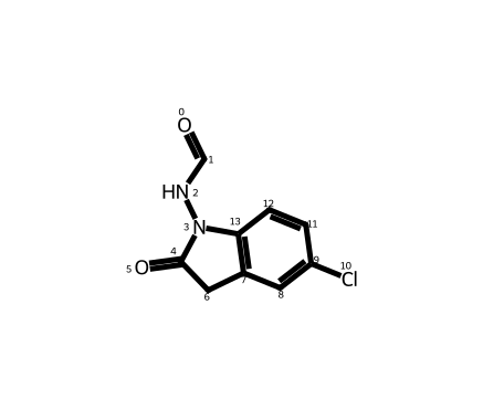 O=CNN1C(=O)Cc2cc(Cl)ccc21